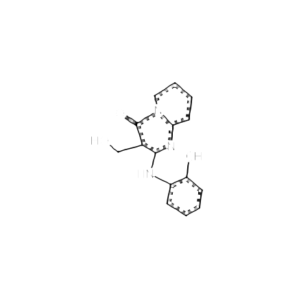 Cc1ccccc1Nc1nc2ccccn2c(=O)c1CO